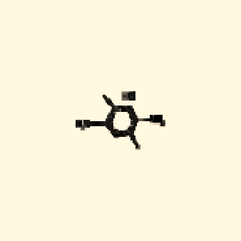 Cc1cc(N)c(C)cc1N.Cl